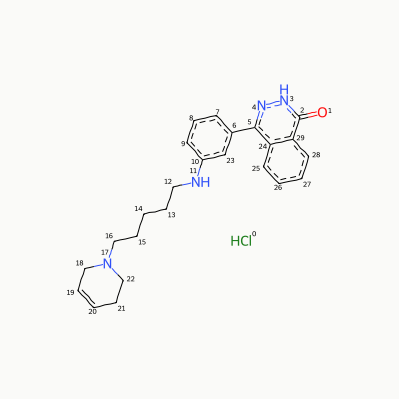 Cl.O=c1[nH]nc(-c2cccc(NCCCCCN3CC=CCC3)c2)c2ccccc12